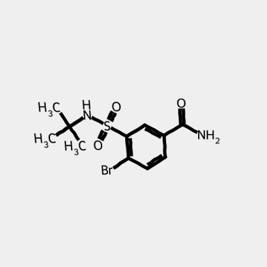 CC(C)(C)NS(=O)(=O)c1cc(C(N)=O)ccc1Br